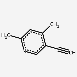 C#Cc1cnc(C)cc1C